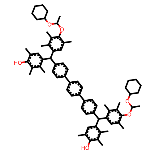 Cc1cc(C(c2ccc(-c3ccc(-c4ccc(C(c5cc(C)c(O)c(C)c5C)c5cc(C)c(OC(C)OC6CCCCC6)c(C)c5C)cc4)cc3)cc2)c2cc(C)c(OC(C)OC3CCCCC3)c(C)c2C)c(C)c(C)c1O